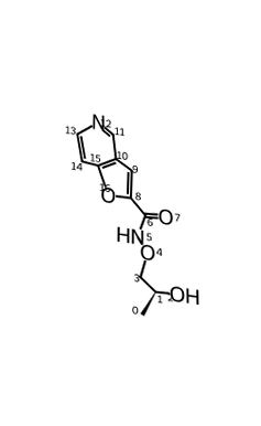 C[C@H](O)CONC(=O)c1cc2cnccc2o1